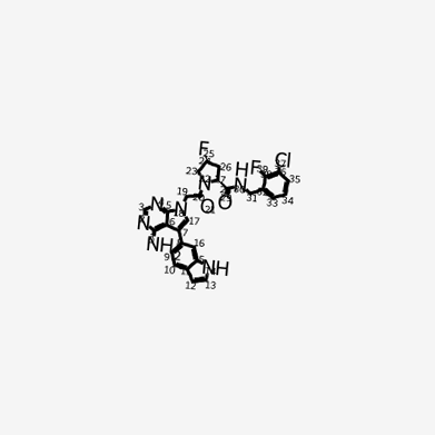 Nc1ncnc2c1c(-c1ccc3cc[nH]c3c1)cn2CC(=O)N1C[C@H](F)C[C@H]1C(=O)NCc1cccc(Cl)c1F